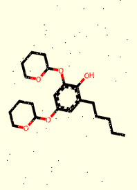 CCCCCc1cc(OC2CCCCO2)cc(OC2CCCCO2)c1O